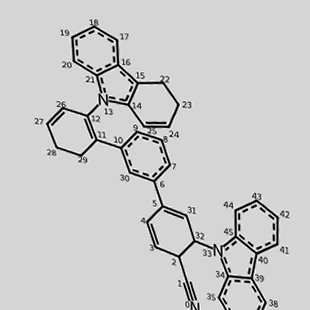 N#CC1C=CC(c2cccc(C3=C(n4c5c(c6ccccc64)CCC=C5)C=CCC3)c2)=CC1n1c2ccccc2c2ccccc21